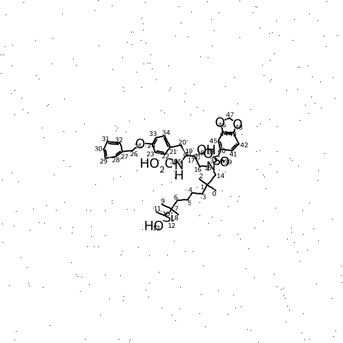 CC(C)(CCCCC(C)(C)[Si](C)(C)O)CN(C[C@@H](O)[C@H](Cc1ccc(OCc2ccccc2)cc1)NC(=O)O)S(=O)(=O)c1ccc2c(c1)OCO2